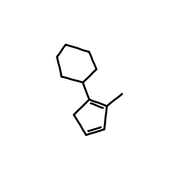 CC1=C(C2CCCCC2)CC=C1